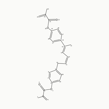 C=C(C)C(=O)Oc1ccc(C/C=C\C=C(/C)c2ccc(OC(=O)C(=C)C)cc2)cc1